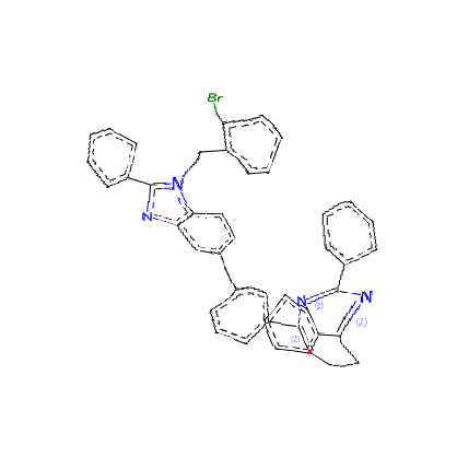 Brc1ccccc1Cn1c(-c2ccccc2)nc2cc(-c3cccc(C4=C/CC/C(c5ccccc5)=N/C(c5ccccc5)=N\4)c3)ccc21